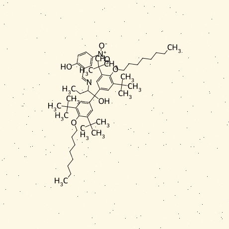 CCCCCCCCOc1c(C(C)(C)C)cc(C(O)(c2cc(C(C)(C)C)c(OCCCCCCCC)c(C(C)(C)C)c2)C(CC)N=Cc2cc([N+](=O)[O-])ccc2O)cc1C(C)(C)C